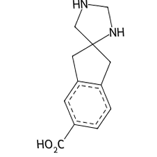 O=C(O)c1ccc2c(c1)CC1(CNCN1)C2